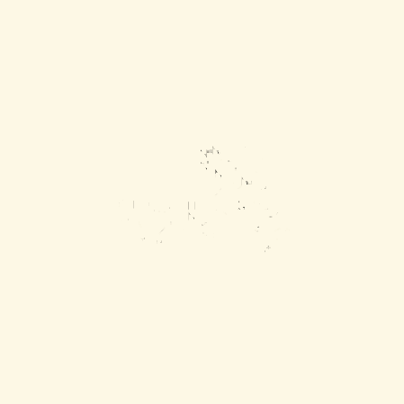 COc1ccc(CNC(=O)c2cc(-n3nnnc3C3CCC3)c3ncc(-c4ccc(C)s4)n3c2)cc1